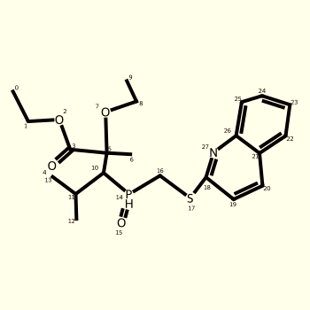 CCOC(=O)C(C)(OCC)C(C(C)C)[PH](=O)CSc1ccc2ccccc2n1